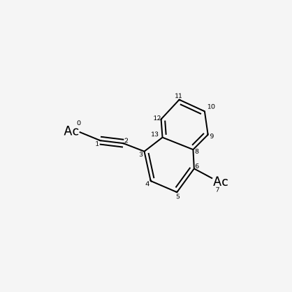 CC(=O)C#Cc1ccc(C(C)=O)c2ccccc12